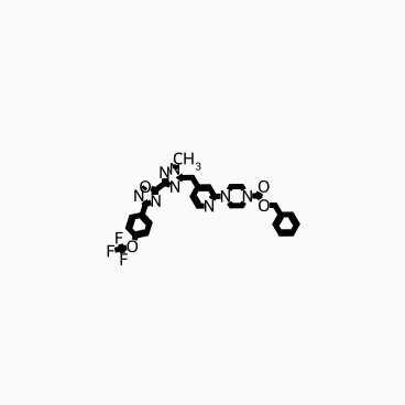 Cn1nc(-c2nc(-c3ccc(OC(F)(F)F)cc3)no2)nc1Cc1ccnc(N2CCN(C(=O)OCc3ccccc3)CC2)c1